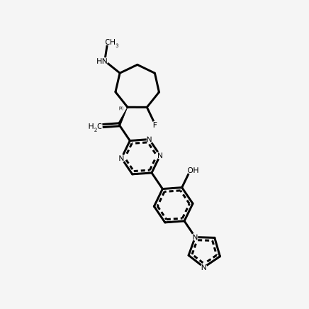 C=C(c1ncc(-c2ccc(-n3ccnc3)cc2O)nn1)[C@H]1CC(NC)CCCC1F